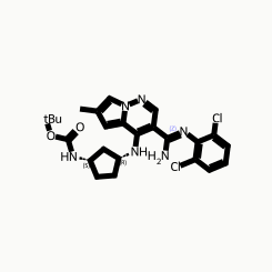 Cc1cc2c(N[C@@H]3CC[C@H](NC(=O)OC(C)(C)C)C3)c(/C(N)=N/c3c(Cl)cccc3Cl)cnn2c1